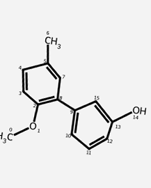 COc1ccc(C)cc1-c1cccc(O)c1